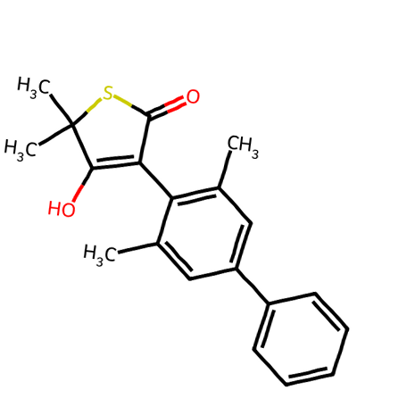 Cc1cc(-c2ccccc2)cc(C)c1C1=C(O)C(C)(C)SC1=O